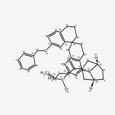 C=CCOC(=O)N1C[C@H]2CC[C@@H](C1)N2c1nc([S+](C)[O-])nc2c1CCC1(CCCc3ccc(OCc4ccccc4)cc31)C2